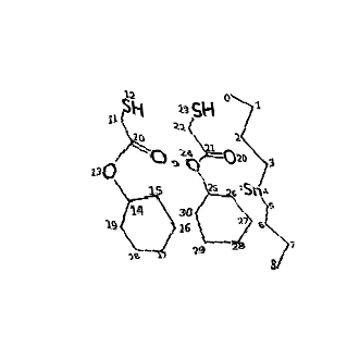 CCC[CH2][Sn][CH2]CCC.O=C(CS)OC1CCCCC1.O=C(CS)OC1CCCCC1